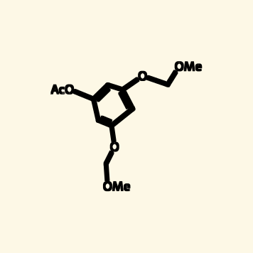 COCOc1cc(OCOC)cc(OC(C)=O)c1